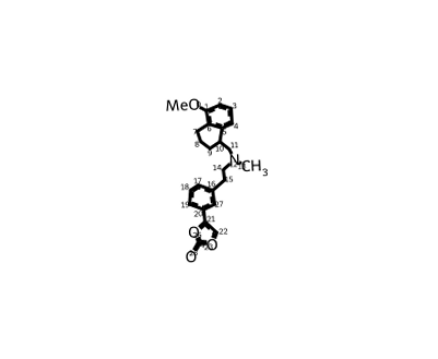 COc1cccc2c1CCCC2CN(C)CCc1cccc(-c2coc(=O)o2)c1